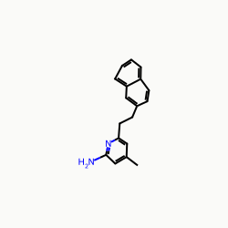 Cc1cc(N)nc(CCc2ccc3ccccc3c2)c1